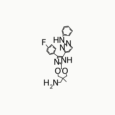 CC1(CN)COC(c2nc(-c3ccc(F)cc3)c(-c3ccnc(Nc4ccccc4)n3)[nH]2)OC1